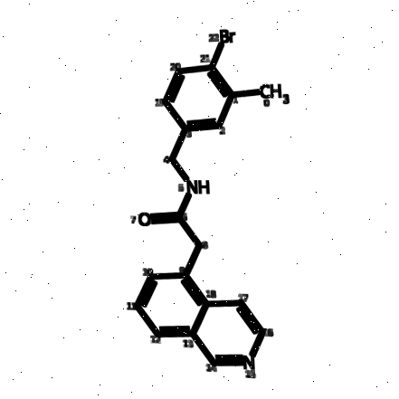 Cc1cc(CNC(=O)Cc2cccc3cnccc23)ccc1Br